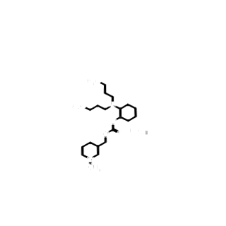 CCCCN(CCCC)C1CCCCC1OC(=O)OCC1CCCN(C)C1.Cl.O